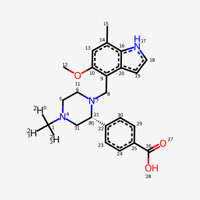 [2H]C([2H])([2H])N1CCN(Cc2c(OC)cc(C)c3[nH]ccc23)[C@H](c2ccc(C(=O)O)cc2)C1